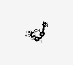 Cc1cc(C#Cc2ccc(Cc3cc([C@@H]4O[C@H](CO)[C@@H](O)C(O)[C@H]4O)ccc3Cl)cc2)n(C)n1